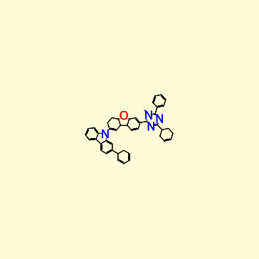 CN1C(c2ccccc2)=NC(C2CC=CCC2)=NC1C1=CC2OC3CCC(n4c5ccccc5c5ccc(C6C=CC=CC6)cc54)=CC3C2C=C1